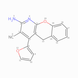 N#Cc1c(N)nc2c(c1-c1ccco1)Cc1ccccc1O2